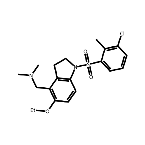 CCOc1ccc2c(c1CN(C)C)CCN2S(=O)(=O)c1cccc(Cl)c1C